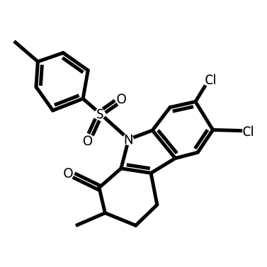 Cc1ccc(S(=O)(=O)n2c3c(c4cc(Cl)c(Cl)cc42)CCC(C)C3=O)cc1